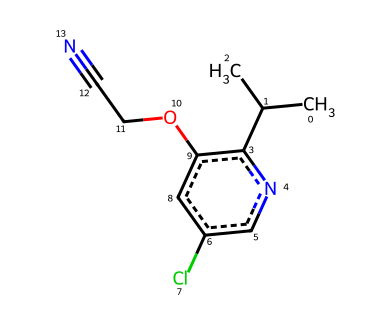 CC(C)c1ncc(Cl)cc1OCC#N